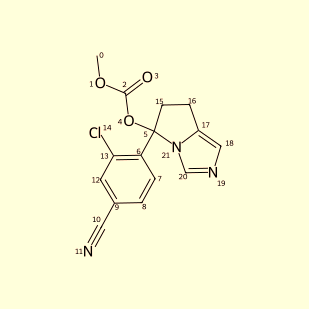 COC(=O)OC1(c2ccc(C#N)cc2Cl)CCc2cncn21